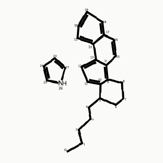 CCCCCC1CCCc2c1ccc1c2ccc2ccccc21.c1cc[nH]c1